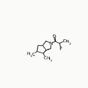 CC(F)C(=O)N1CC2CC(C)C(C)C2C1